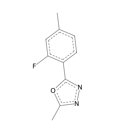 Cc1ccc(-c2nnc(C)o2)c(F)c1